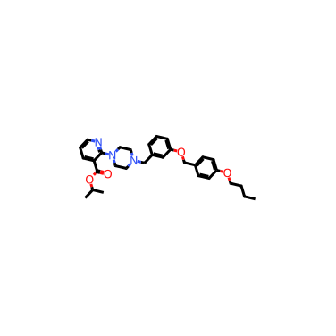 CCCCOc1ccc(COc2cccc(CN3CCN(c4ncccc4C(=O)OC(C)C)CC3)c2)cc1